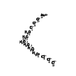 O.O.O.O.O.O.[Cl-].[Cl-].[Cl-].[Cl-].[Cl-].[Cl-].[Mo+6]